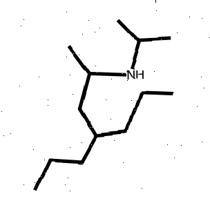 CCCC(CCC)CC(C)NC(C)C